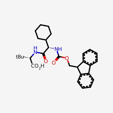 CC(C)(C)[C@H](NC(=O)[C@@H](NC(=O)OCC1c2ccccc2-c2ccccc21)C1CCCCC1)C(=O)O